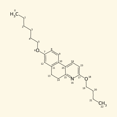 CCCCCCOc1ccc2c(c1)CCc1nc(OCCCC)ccc1-2